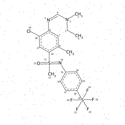 CCN(C)/C=N\c1cc(C)c(S(C)(=O)=Nc2ccc(S(F)(F)(F)(F)F)cc2)cc1Cl